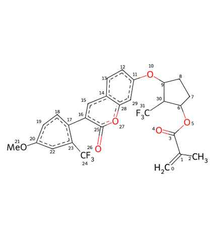 C=C(C)C(=O)OC1CCC(Oc2ccc3cc(-c4ccc(OC)cc4C(F)(F)F)c(=O)oc3c2)C1C(F)(F)F